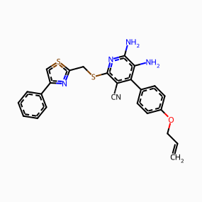 C=CCOc1ccc(-c2c(N)c(N)nc(SCc3nc(-c4ccccc4)cs3)c2C#N)cc1